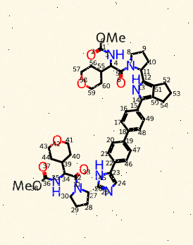 COC(=O)NC(C(=O)N1CCCC1c1[nH]c(-c2ccc(-c3ccc(-c4cnc([C@@H]5CCCN5C(=O)C(NC(=O)OC)C5CCOCC5)[nH]4)cc3)cc2)c2c1CCC2)C1CCOCC1